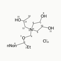 CCCCCCCCCC(CC)OC[N+](CCO)(CCO)CC(C)O.[Cl-]